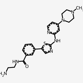 CN1CCN(c2ccnc(Nc3ncc(-c4cccc(C(=O)NCCN)c4)s3)c2)CC1